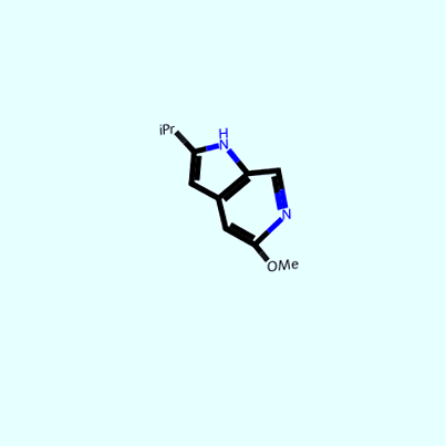 COc1cc2cc(C(C)C)[nH]c2cn1